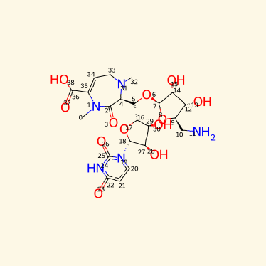 CN1C(=O)[C@H](C(O[C@@H]2O[C@H](CN)[C@@H](O)[C@H]2O)[C@H]2O[C@@H](n3ccc(=O)[nH]c3=O)[C@H](O)[C@@H]2O)N(C)CC=C1C(=O)O